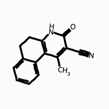 Cc1c2c([nH]c(=O)c1C#N)CCc1ccccc1-2